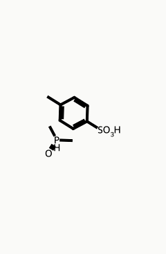 C[PH](C)=O.Cc1ccc(S(=O)(=O)O)cc1